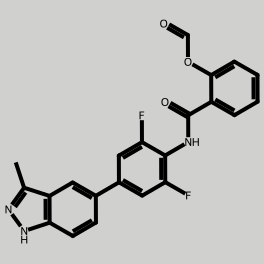 Cc1n[nH]c2ccc(-c3cc(F)c(NC(=O)c4ccccc4OC=O)c(F)c3)cc12